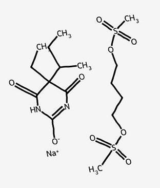 CCC(C)C1(CC)C(=O)N=C([O-])NC1=O.CS(=O)(=O)OCCCCOS(C)(=O)=O.[Na+]